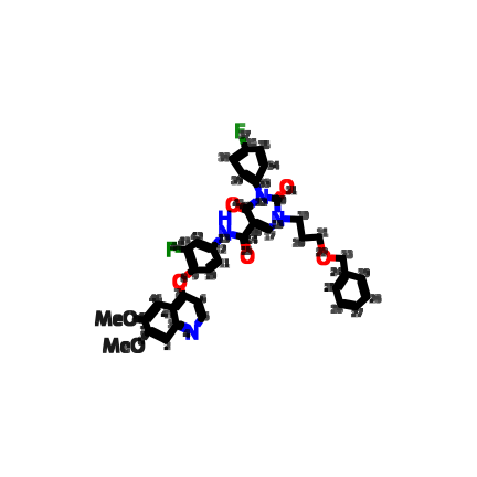 COc1cc2nccc(Oc3ccc(NC(=O)c4cn(CCCOCc5ccccc5)c(=O)n(-c5ccc(F)cc5)c4=O)cc3F)c2cc1OC